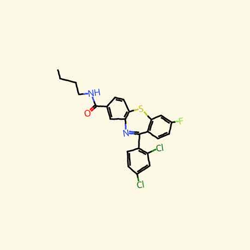 CCCCNC(=O)c1ccc2c(c1)N=C(c1ccc(Cl)cc1Cl)c1ccc(F)cc1S2